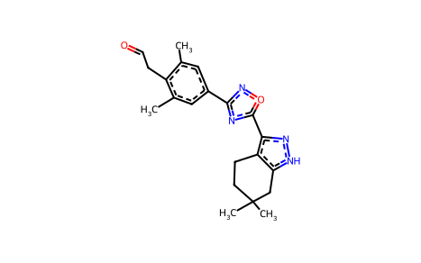 Cc1cc(-c2noc(-c3n[nH]c4c3CCC(C)(C)C4)n2)cc(C)c1CC=O